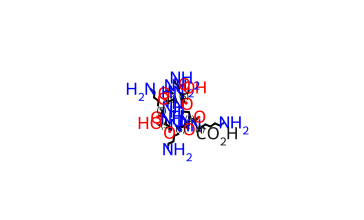 NCCCC[C@H](NC(=O)[C@@H]1CCCN1C(=O)[C@H](CCCCN)NC(=O)[C@H](CO)NC(=O)[C@H](CCCCN)NC(=O)[C@H](CC(N)=O)NC(=O)[C@H](CO)NC(=O)CN)C(=O)O